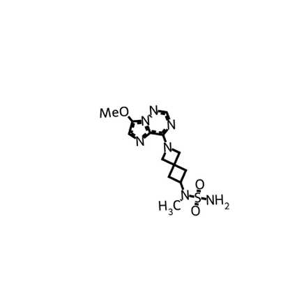 COc1cnc2c(N3CC4(CC(N(C)S(N)(=O)=O)C4)C3)ncnn12